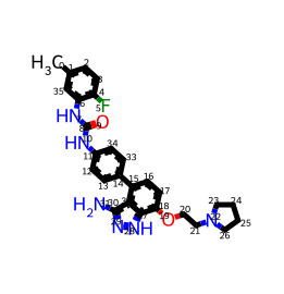 Cc1ccc(F)c(NC(=O)Nc2ccc(-c3ccc(OCCN4CCCC4)c4[nH]nc(N)c34)cc2)c1